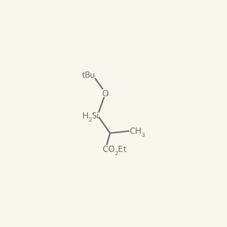 CCOC(=O)C(C)[SiH2]OC(C)(C)C